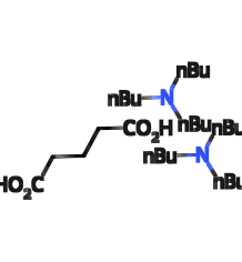 CCCCN(CCCC)CCCC.CCCCN(CCCC)CCCC.O=C(O)CCCC(=O)O